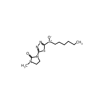 CCCCCC[S+]([O-])c1nnc(N2CCN(C)C2=O)s1